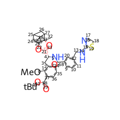 COc1c(CC(NC(=O)c2cccc(CNc3nccs3)c2)B2OC3CC4CC(C4(C)C)C3(C)O2)cccc1C(=O)OC(C)(C)C